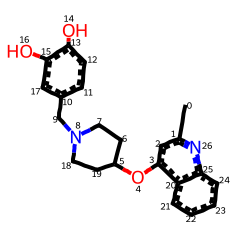 Cc1cc(OC2CCN(Cc3ccc(O)c(O)c3)CC2)c2ccccc2n1